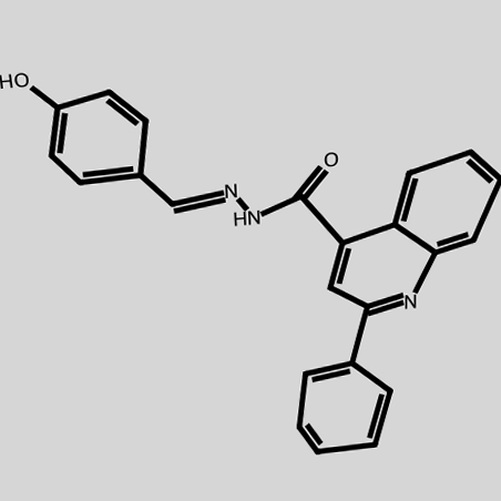 O=C(NN=Cc1ccc(O)cc1)c1cc(-c2ccccc2)nc2ccccc12